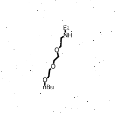 CCCCOCCOCCOCCNCC